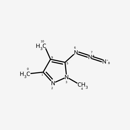 Cc1nn(C)c(N=[N+]=[N-])c1C